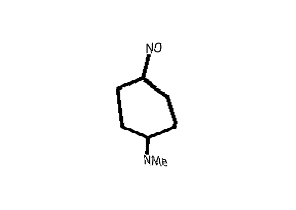 CNC1CCC(N=O)CC1